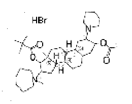 Br.CC(=O)OC1CC2CC[C@@H]3[C@@H](CC[C@]4(C)C(OC(=O)C(C)(C)C)C([N+]5(C)CCCCCC5)C[C@@H]34)[C@@]2(C)CC1N1CCCCC1